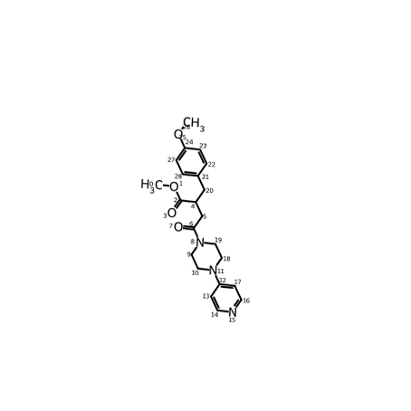 COC(=O)C(CC(=O)N1CCN(c2ccncc2)CC1)Cc1ccc(OC)cc1